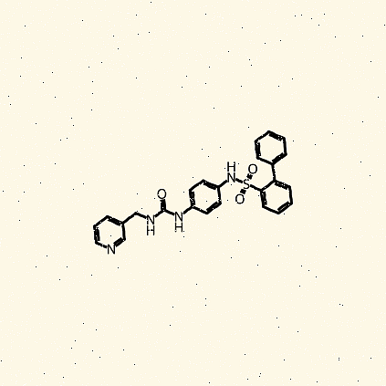 O=C(NCc1cccnc1)Nc1ccc(NS(=O)(=O)c2ccccc2-c2ccccc2)cc1